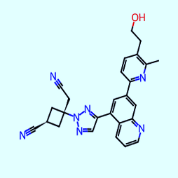 Cc1nc(-c2cc(-c3cnn([C@]4(CC#N)C[C@@H](C#N)C4)n3)c3cccnc3c2)ccc1CCO